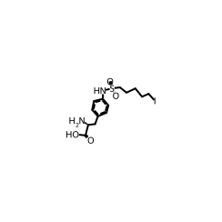 N[C@@H](Cc1ccc(NS(=O)(=O)CCCCCI)cc1)C(=O)O